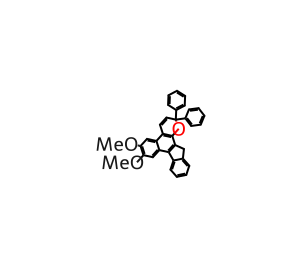 COc1cc2c3c(c4c(c2cc1OC)-c1ccccc1C4)OC(c1ccccc1)(c1ccccc1)C=C3